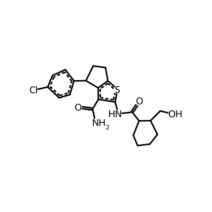 NC(=O)c1c(NC(=O)C2CCCCC2CO)sc2c1C(c1ccc(Cl)cc1)CC2